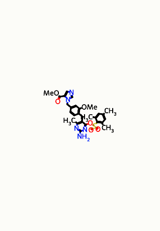 COC(=O)c1cncn1Cc1ccc(Cc2c(C)nc(N)nc2OS(=O)(=O)c2c(C)cc(C)cc2C)c(OC)c1